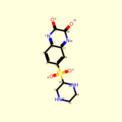 O=C1N=c2ccc(S(=O)(=O)C3CNCCN3)cc2=NC1=O